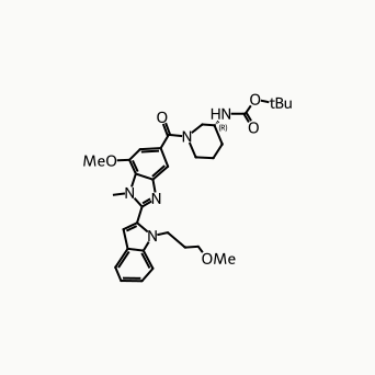 COCCCn1c(-c2nc3cc(C(=O)N4CCC[C@@H](NC(=O)OC(C)(C)C)C4)cc(OC)c3n2C)cc2ccccc21